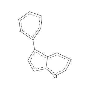 [c]1ccccc1-c1ccc2occcc1-2